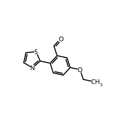 CCOc1ccc(-c2nccs2)c(C=O)c1